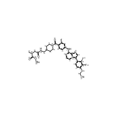 Cc1cc(Nc2nccn3c(-c4ccc(OCC#N)c(F)c4F)cnc23)ccc1C(=O)N1CCC(CNC(=O)CN(C)C(=O)OC(C)(C)C)CC1